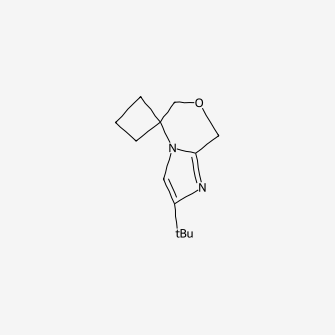 CC(C)(C)c1cn2c(n1)COCC21CCC1